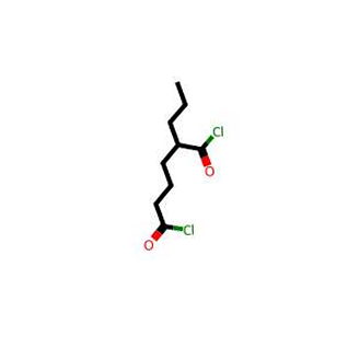 CCCC(CCCC(=O)Cl)C(=O)Cl